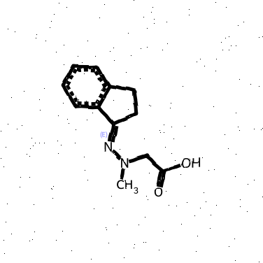 CN(CC(=O)O)/N=C1\CCc2ccccc21